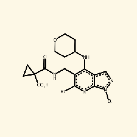 CCc1nc2c(cnn2CC)c(NC2CCOCC2)c1CNC(=O)C1(C(=O)O)CC1